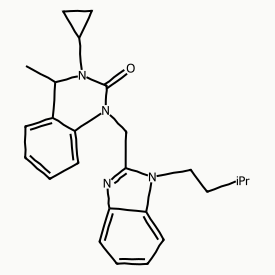 CC(C)CCn1c(CN2C(=O)N(C3CC3)C(C)c3ccccc32)nc2ccccc21